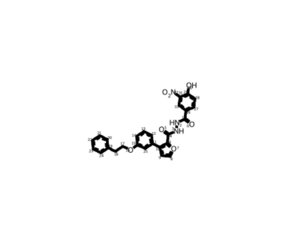 O=C(NNC(=O)c1occc1-c1cccc(OCCc2ccccc2)c1)c1ccc(O)c([N+](=O)[O-])c1